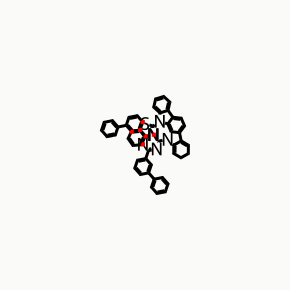 C1=c2c(n(-c3nc(-c4cccc(-c5ccccc5)c4)nc(-c4cccc(-c5ccccc5)c4)n3)c3c2ccc2c4ccccc4n(-c4nc5ccccc5s4)c23)=CCC1